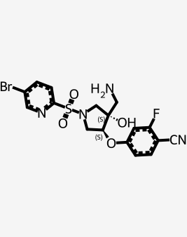 N#Cc1ccc(O[C@H]2CN(S(=O)(=O)c3ccc(Br)cn3)C[C@@]2(O)CN)cc1F